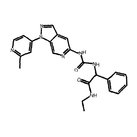 CCNC(=O)C(NC(=O)Nc1cc2cnn(-c3ccnc(C)c3)c2cn1)c1ccccc1